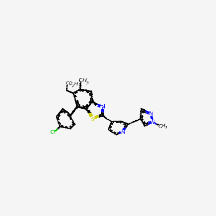 Cc1cc2nc(-c3ccnc(-c4cnn(C)c4)c3)sc2c(-c2ccc(Cl)cc2)c1CC(=O)O